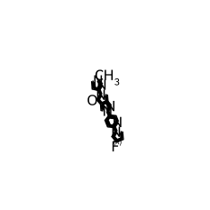 Cn1ccc(N2Cc3nn(-c4ccc(N5CC[C@@H](F)C5)nc4)cc3C2=O)n1